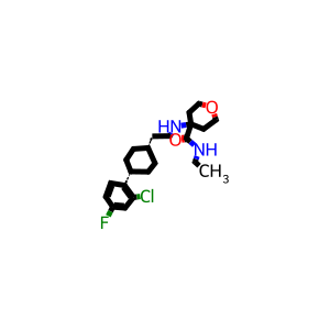 CCNC(=O)C1(NCC[C@H]2CC[C@@H](c3ccc(F)cc3Cl)CC2)CCOCC1